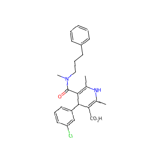 CC1=C(C(=O)O)C(c2cccc(Cl)c2)C(C(=O)N(C)CCCc2ccccc2)=C(C)N1